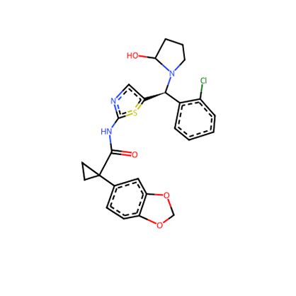 O=C(Nc1ncc([C@H](c2ccccc2Cl)N2CCCC2O)s1)C1(c2ccc3c(c2)OCO3)CC1